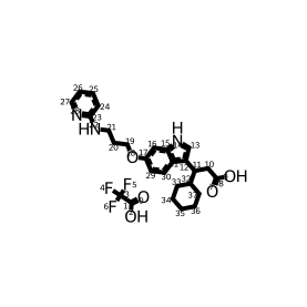 O=C(O)C(F)(F)F.O=C(O)CC(c1c[nH]c2cc(OCCCNc3ccccn3)ccc12)C1CCCCC1